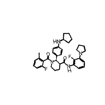 Cc1cccc(F)c1C(=O)N1CCCC(C(=O)Nc2cccc(N3CCCC3)c2F)[C@@H]1c1ccc(NC2CCCC2)cc1